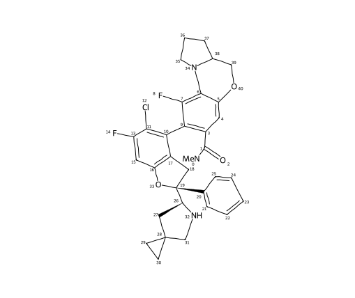 CNC(=O)c1cc2c(c(F)c1-c1c(Cl)c(F)cc3c1C[C@](c1ccccc1)([C@@H]1CC4(CC4)CN1)O3)N1CCCC1CO2